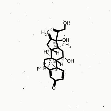 C=C1C[C@H]2[C@@H]3C[C@@H](F)C4=CC(=O)C=C[C@]4(C)[C@H]3[C@@H](O)C[C@]2(C)[C@@]1(O)C(=O)CO